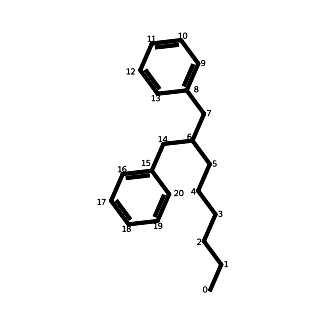 CCCCCCC(Cc1ccccc1)Cc1ccccc1